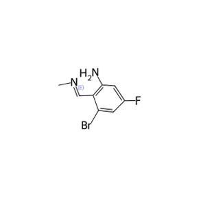 C/N=C/c1c(N)cc(F)cc1Br